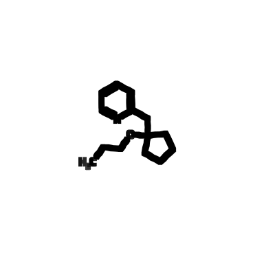 CCCOC1(Cc2ccccn2)CCCC1